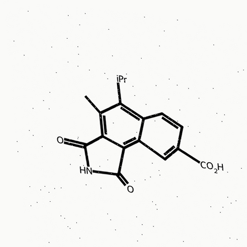 Cc1c2c(c3cc(C(=O)O)ccc3c1C(C)C)C(=O)NC2=O